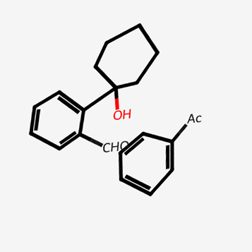 CC(=O)c1ccccc1.O=Cc1ccccc1C1(O)CCCCC1